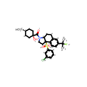 O=C(O)[C@H]1CC[C@](O)(C(=O)N2CCC3(S(=O)(=O)c4cccc(Cl)c4)c4ccc(C(F)(C(F)(F)F)C(F)(F)F)cc4CCC23)CC1